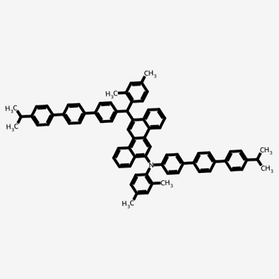 Cc1ccc(C(c2ccc(-c3ccc(-c4ccc(C(C)C)cc4)cc3)cc2)c2cc3c4ccccc4c(N(c4ccc(-c5ccc(-c6ccc(C(C)C)cc6)cc5)cc4)c4ccc(C)cc4C)cc3c3ccccc23)c(C)c1